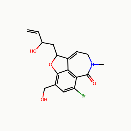 C=CC(O)CC1Oc2c(CO)cc(Br)c3c2C1=CCN(C)C3=O